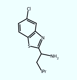 CC(C)CC(N)c1nc2cc(Cl)ccc2s1